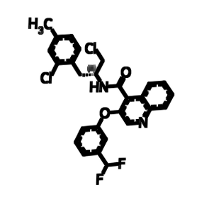 Cc1ccc(C[C@H](CCl)NC(=O)c2c(Oc3cccc(C(F)F)c3)cnc3ccccc23)c(Cl)c1